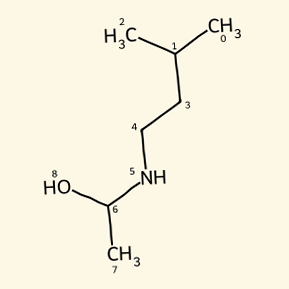 CC(C)CCNC(C)O